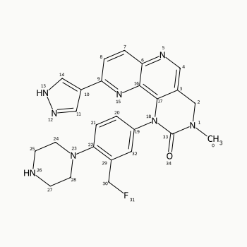 CN1Cc2cnc3ccc(-c4cn[nH]c4)nc3c2N(c2ccc(N3CCNCC3)c(CF)c2)C1=O